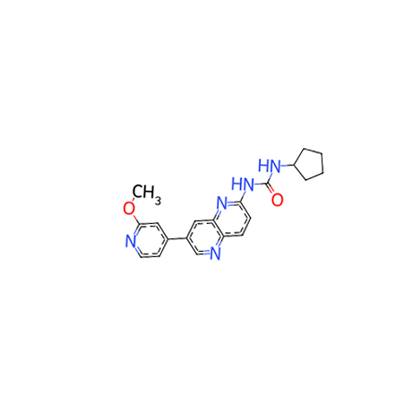 COc1cc(-c2cnc3ccc(NC(=O)NC4CCCC4)nc3c2)ccn1